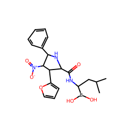 CC(C)CC(NC(=O)C1NC(c2ccccc2)C([N+](=O)[O-])C1c1ccco1)B(O)O